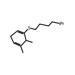 CC1=CCC=C(SCCCCC(C)C)C1C